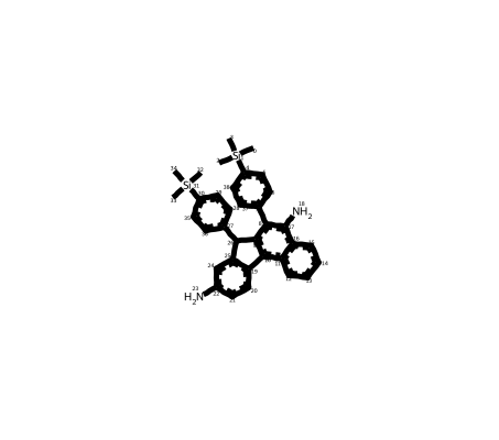 C[Si](C)(C)c1ccc(-c2c3c(c4ccccc4c2N)-c2ccc(N)cc2C3c2ccc([Si](C)(C)C)cc2)cc1